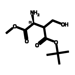 COC(=O)[C@@H](N)C(CO)C(=O)OC(C)(C)C